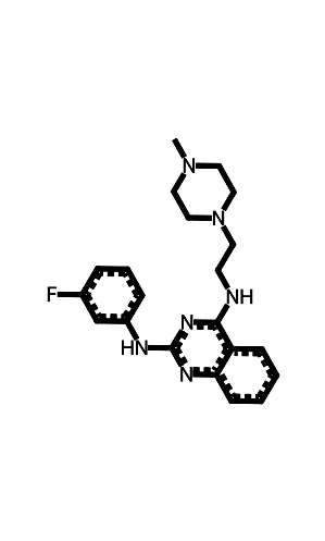 CN1CCN(CCNc2nc(Nc3cccc(F)c3)nc3ccccc23)CC1